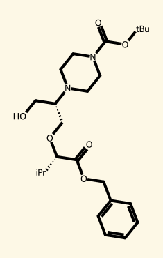 CC(C)[C@H](OC[C@H](CO)N1CCN(C(=O)OC(C)(C)C)CC1)C(=O)OCc1ccccc1